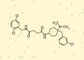 CN(C)C1(Cc2cccc(Cl)c2)CCC(NC(=O)CCC(=O)NCc2cc(Cl)ccc2Cl)CC1